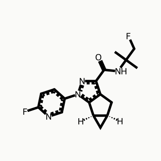 CC(C)(CF)NC(=O)c1nn(-c2ccc(F)nc2)c2c1C[C@H]1C[C@@H]21